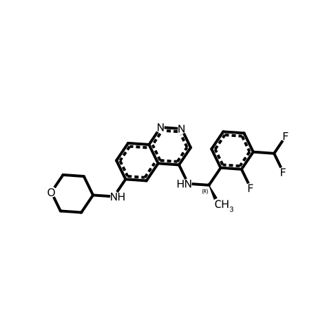 C[C@@H](Nc1cnnc2ccc(NC3CCOCC3)cc12)c1cccc(C(F)F)c1F